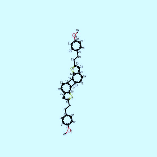 COc1ccc(CCc2cc3ccc4c(c3s2)-c2ccc3cc(CCc5ccc(OC)cc5)sc3c2-4)cc1